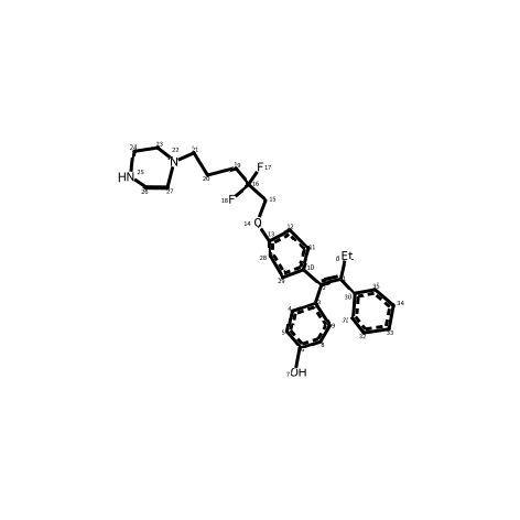 CCC(=C(c1ccc(O)cc1)c1ccc(OCC(F)(F)CCCN2CCNCC2)cc1)c1ccccc1